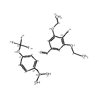 CCOc1cc(C=O)cc(OCC)c1I.OB(O)c1ccc(OC(F)(F)F)cc1